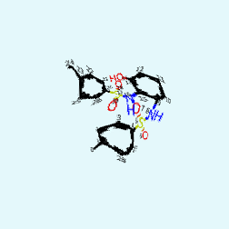 Cc1ccc(S(=O)(=O)Nc2cccc(O)c2NS(=O)(=O)c2ccc(C)cc2)cc1